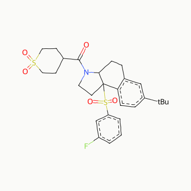 CC(C)(C)c1ccc2c(c1)CCC1N(C(=O)C3CCS(=O)(=O)CC3)CCC21S(=O)(=O)c1cccc(F)c1